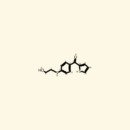 O=C(c1ccc(SCCO)cc1)c1cccs1